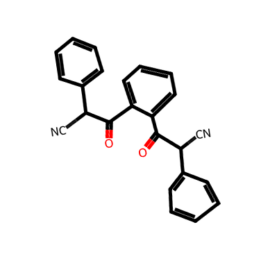 N#CC(C(=O)c1ccccc1C(=O)C(C#N)c1ccccc1)c1ccccc1